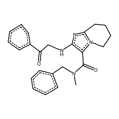 CN(Cc1ccccc1)C(=O)c1c(NCC(=O)c2ccccc2)nc2n1CCCC2